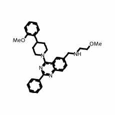 COCCNCc1ccc2nc(-c3ccccc3)nc(N3CCC(c4ccccc4OC)CC3)c2c1